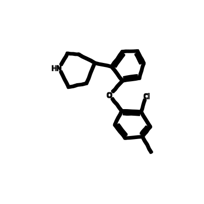 Cc1ccc(Oc2ccccc2C2CCNCC2)c(Cl)c1